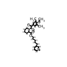 COc1c(C)cc(C(=O)C(=O)N2CCCCC2C(=O)OCCCCCc2cccnc2)cc1C